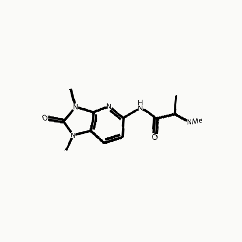 CNC(C)C(=O)Nc1ccc2c(n1)n(C)c(=O)n2C